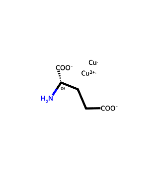 N[C@@H](CCC(=O)[O-])C(=O)[O-].[Cu+2].[Cu]